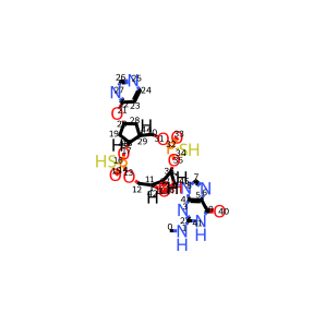 CNc1nc2c(ncn2[C@@H]2O[C@H]3CO[P@@](=O)(S)O[C@H]4C[C@H](Oc5ccncn5)C[C@@H]4CO[P@@](=O)(S)O[C@@H]2[C@@H]3O)c(=O)[nH]1